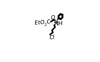 CCOC(=O)CC(=O)N(NCCCCCCl)c1ccccc1